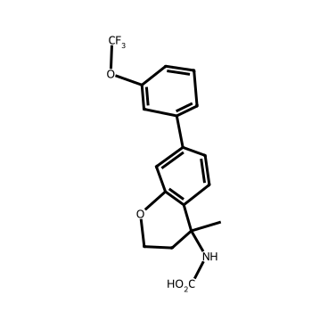 CC1(NC(=O)O)CCOc2cc(-c3cccc(OC(F)(F)F)c3)ccc21